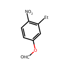 CCc1cc(OC=O)ccc1[N+](=O)[O-]